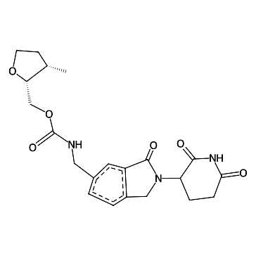 C[C@H]1CCO[C@H]1COC(=O)NCc1ccc2c(c1)C(=O)N(C1CCC(=O)NC1=O)C2